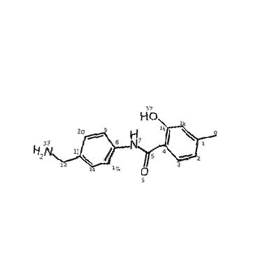 Cc1ccc(C(=O)Nc2ccc(CN)cc2)c(O)c1